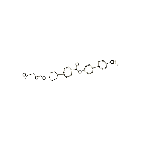 Cc1ccc(-c2ccc(OC(=O)c3ccc(C4CCC(OCOCC5CO5)CC4)cc3)cc2)cc1